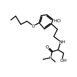 CCCCOc1cccc(CCNC(CO)C(=O)N(C)C)c1.Cl